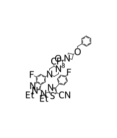 CCN(c1nc(-c2ccc(F)cc2)c(C#N)s1)c1c2cc(N3CCN(CC(=O)N4CC(OCc5ccccc5)C4)C(C(F)(F)F)C3)cc(F)c2nn1CC